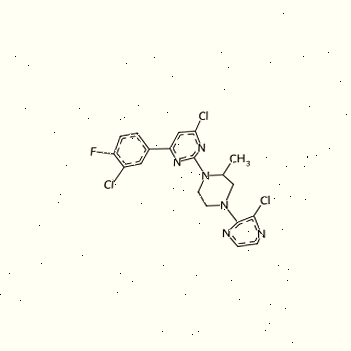 CC1CN(c2nccnc2Cl)CCN1c1nc(Cl)cc(-c2ccc(F)c(Cl)c2)n1